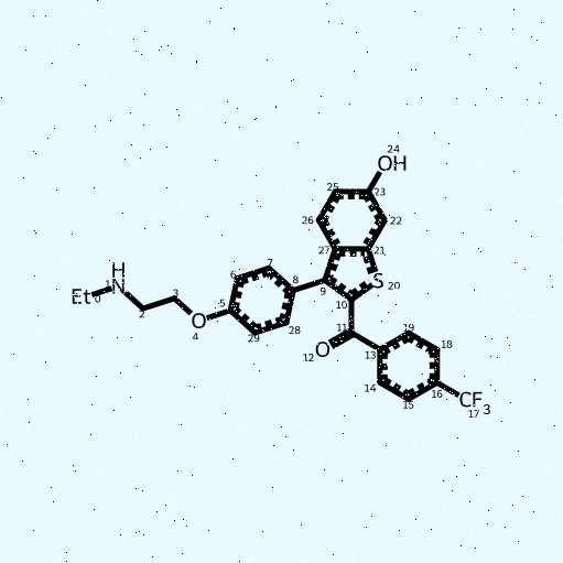 CCNCCOc1ccc(-c2c(C(=O)c3ccc(C(F)(F)F)cc3)sc3cc(O)ccc23)cc1